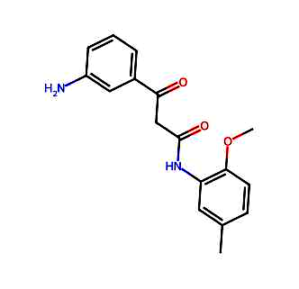 COc1ccc(C)cc1NC(=O)CC(=O)c1cccc(N)c1